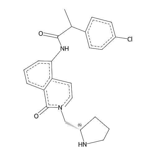 CC(C(=O)Nc1cccc2c(=O)n(C[C@@H]3CCCN3)ccc12)c1ccc(Cl)cc1